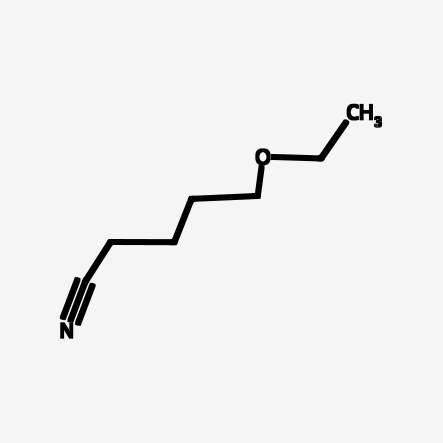 CCOCCCCC#N